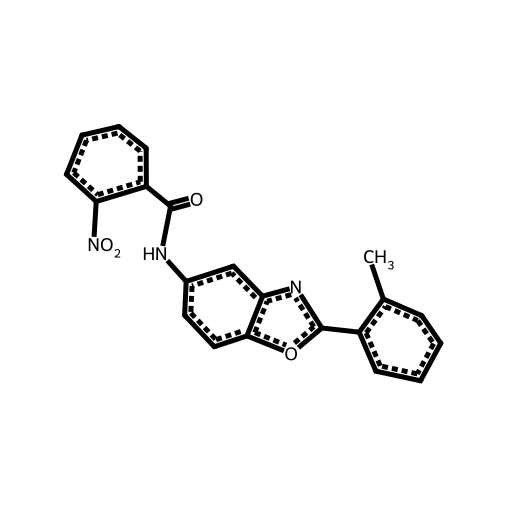 Cc1ccccc1-c1nc2cc(NC(=O)c3ccccc3[N+](=O)[O-])ccc2o1